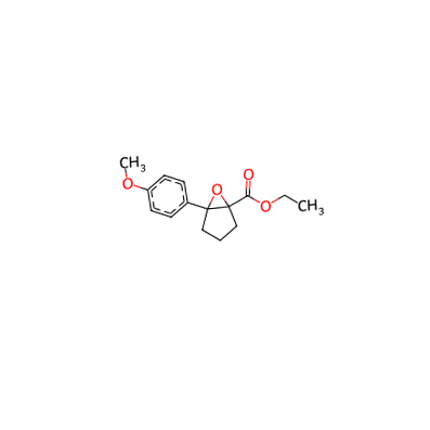 CCOC(=O)C12CCCC1(c1ccc(OC)cc1)O2